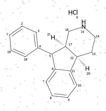 Cl.c1ccc(C2c3ccccc3[C@@H]3CCNC[C@H]23)cc1